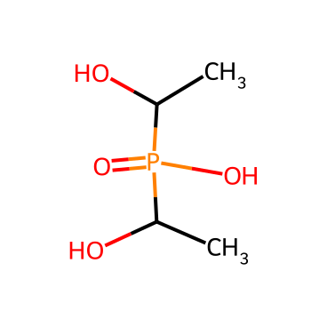 CC(O)P(=O)(O)C(C)O